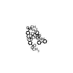 COC(=O)c1ccc(CN(Cc2ccc(C(=O)N(C)CCN3CCC(OC(=O)Nc4ccccc4-c4ccccc4)CC3)cc2)C(=O)OC(C)(C)C)cc1